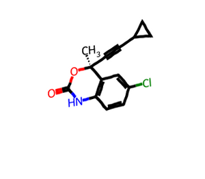 C[C@@]1(C#CC2CC2)OC(=O)Nc2ccc(Cl)cc21